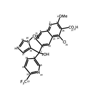 COc1nc2ccc(C(O)(c3ccc(C(F)(F)F)nc3)c3cncn3C)cc2c(Cl)c1C(=O)O